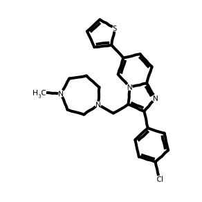 CN1CCCN(Cc2c(-c3ccc(Cl)cc3)nc3ccc(-c4cccs4)cn23)CC1